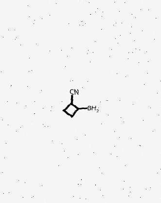 BC1CCC1C#N